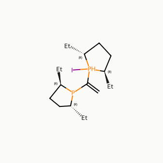 C=C(P1[C@H](CC)CC[C@H]1CC)[PH]1(I)[C@H](CC)CC[C@H]1CC